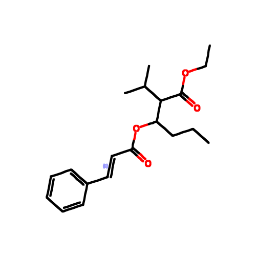 CCCC(OC(=O)/C=C/c1ccccc1)C(C(=O)OCC)C(C)C